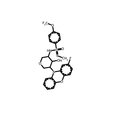 CN=S(=O)(NC1COCC(N2c3ccccc3Oc3ccc(F)cc32)C1O)c1ccc(OC(F)(F)F)cc1